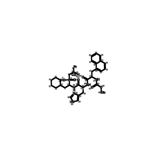 CC(C)C(CP(=O)(O)C(CC1CCCCC1)NC(=O)[C@H](Cc1c[nH]cn1)NC(=O)C(Cc1cccc2ccccc12)NC(=O)OC(C)(C)C)C(=O)O